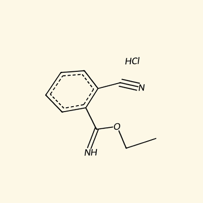 CCOC(=N)c1ccccc1C#N.Cl